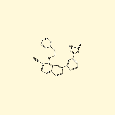 N#Cc1cnc2ccc(-c3cccc(-c4n[nH]c(=O)o4)c3)cc2c1NCCc1ccccc1